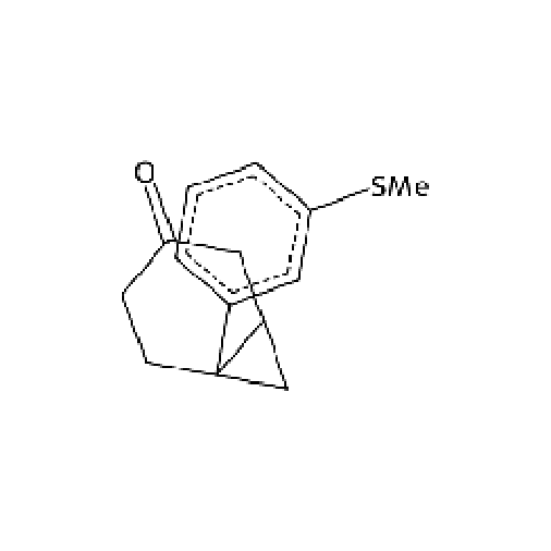 CSc1cccc(C23CCC(=O)CC2C3)c1